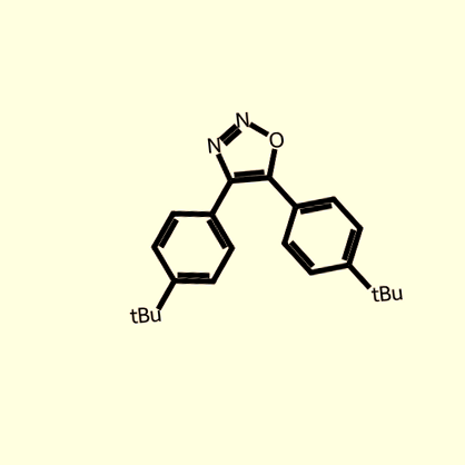 CC(C)(C)c1ccc(-c2nnoc2-c2ccc(C(C)(C)C)cc2)cc1